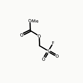 COC(=O)OCS(=O)(=O)F